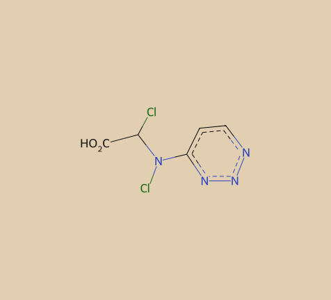 O=C(O)C(Cl)N(Cl)c1ccnnn1